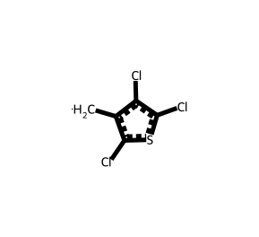 [CH2]c1c(Cl)sc(Cl)c1Cl